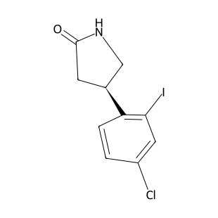 O=C1C[C@H](c2ccc(Cl)cc2I)CN1